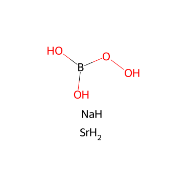 OOB(O)O.[NaH].[SrH2]